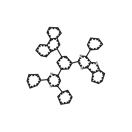 c1ccc(-c2cc(-c3cc(-c4nc(-c5ccccc5)c5sc6ccccc6c5n4)cc(-c4cc5ccccc5c5ccccc45)c3)nc(-c3ccccc3)n2)cc1